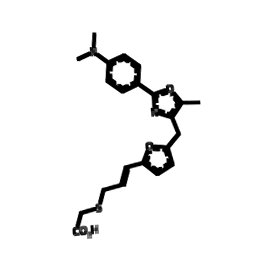 Cc1oc(-c2ccc(N(C)C)cc2)nc1Cc1ccc(/C=C/CSCC(=O)O)o1